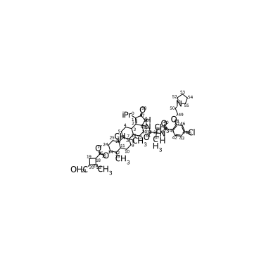 CC(C)C1=C2C3CCC4C(C)(CCC5C(C)C(OC(=O)C6CC(C=O)C6C)CCC54C)C3CCC2(NC(=O)C(C)(C)NC(=O)c2ccc(Cl)cc2OCCN2CCCC2)CC1=O